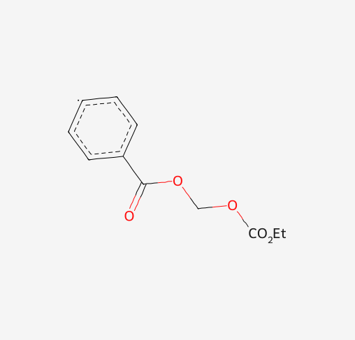 CCOC(=O)OCOC(=O)c1cc[c]cc1